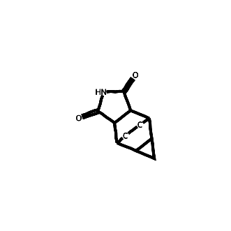 O=C1NC(=O)C2C3CCC(C4CC43)C12